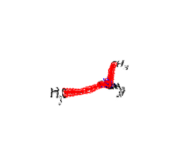 COCCOCCOCCOCCOCCOCCOCCOCCOCCOCCOCCN(CCC(=O)N[C@H](C(=O)N[C@@H](C)C(=O)Nc1ccc(COC(C)=O)c(CCCOCCOCCOCCOCCOCCCOCCOCCOCCOCCOCOCCOCCOCCOCCOCCOCCOC)c1)C(C)C)C(=O)CN1C(=O)C=CC1=O